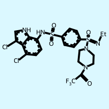 CCN=S(=O)(c1ccc(S(=O)(=O)Nc2ccc(Cl)c3c(Cl)c[nH]c23)cc1)N1CCN(C(=O)C(F)(F)F)CC1